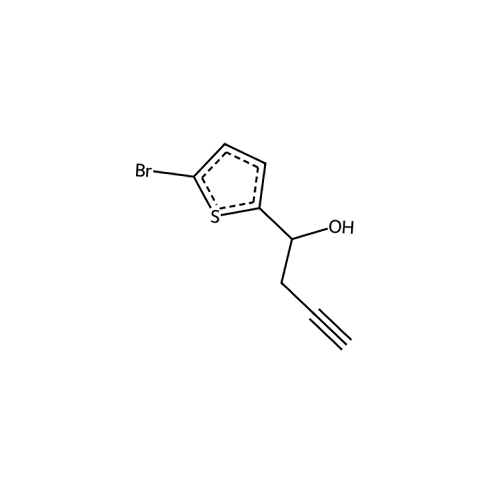 C#CCC(O)c1ccc(Br)s1